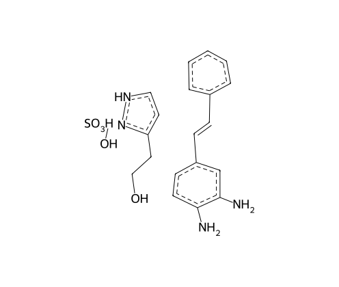 Nc1ccc(C=Cc2ccccc2)cc1N.O=S(=O)(O)O.OCCc1cc[nH]n1